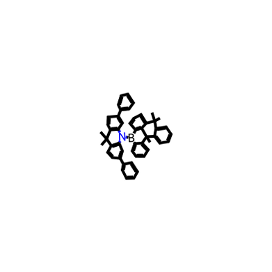 CC1(C)c2ccc(-c3ccccc3)cc2N(B2c3ccccc3C3(C)c4ccccc4C(C)(C)c4cccc2c43)c2cc(-c3ccccc3)ccc21